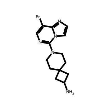 NC1CC2(CCN(c3ncc(Br)c4nccn34)CC2)C1